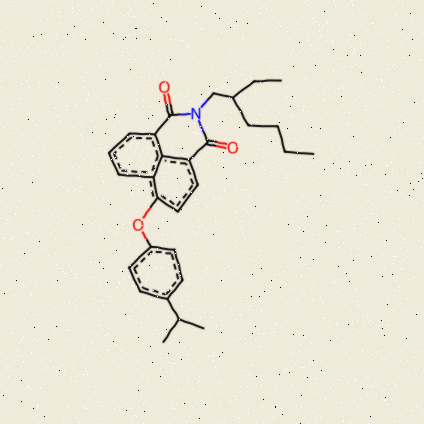 CCCCC(CC)CN1C(=O)c2cccc3c(Oc4ccc(C(C)C)cc4)ccc(c23)C1=O